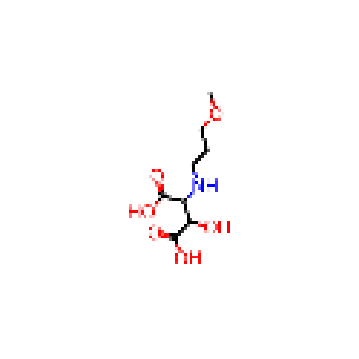 COCCCNC(C(=O)O)C(O)C(=O)O